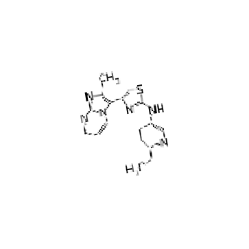 CCc1ccc(Nc2nc(-c3c(C)nc4ncccn34)cs2)cn1